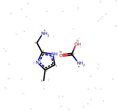 Cc1c[nH]c(CN)n1.NC(=O)O